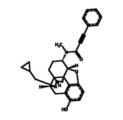 CN(C(=O)C#Cc1ccccc1)[C@H]1CC[C@H]2[C@H]3Cc4c(O)ccc5c4[C@@]2(CCN3CC2CC2)[C@H]1O5